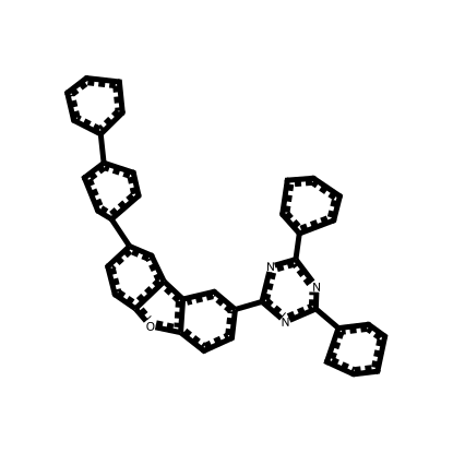 c1ccc(-c2ccc(-c3ccc4oc5ccc(-c6nc(-c7ccccc7)nc(-c7ccccc7)n6)cc5c4c3)cc2)cc1